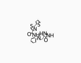 O=C(Nc1ccccc1N1CCC2(CC1)NCNC2=O)c1csc(-c2cccs2)n1